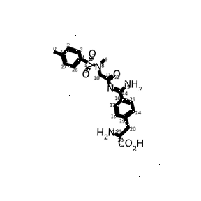 Cc1ccc(S(=O)(=O)N(C)CC(=O)N=C(N)c2ccc(C[C@H](N)C(=O)O)cc2)cc1